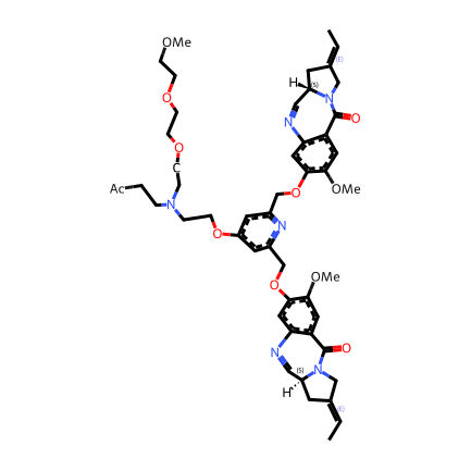 C/C=C1\C[C@H]2C=Nc3cc(OCc4cc(OCCN(CCOCCOCCOC)CCC(C)=O)cc(COc5cc6c(cc5OC)C(=O)N5C/C(=C/C)C[C@H]5C=N6)n4)c(OC)cc3C(=O)N2C1